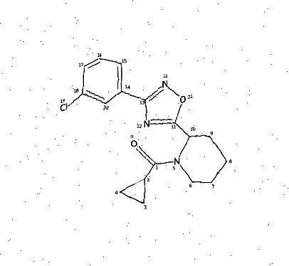 O=C(C1CC1)N1CCCCC1c1nc(-c2cccc(Cl)c2)no1